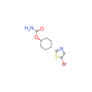 NC(=O)O[C@H]1CC[C@H](c2ncc(Br)s2)CC1